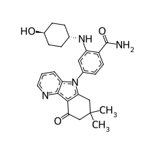 CC1(C)CC(=O)c2c(n(-c3ccc(C(N)=O)c(N[C@H]4CC[C@H](O)CC4)c3)c3cccnc23)C1